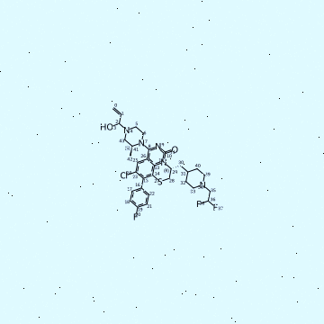 C=CC(O)N1CCN(c2nc(=O)n3c4c(c(-c5ccc(F)cc5)c(Cl)cc24)SC[C@H]3CC2CCN(CC(F)F)CC2)[C@@H](C)C1